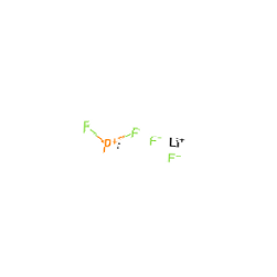 F[P+]F.[F-].[F-].[Li+]